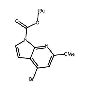 COc1cc(Br)c2ccn(C(=O)OC(C)(C)C)c2n1